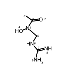 CC(=O)N(O)CNC(=N)N